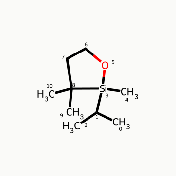 CC(C)[Si]1(C)OCCC1(C)C